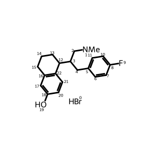 Br.CNCC(Cc1ccc(F)cc1)C1CCCc2cc(O)ccc21